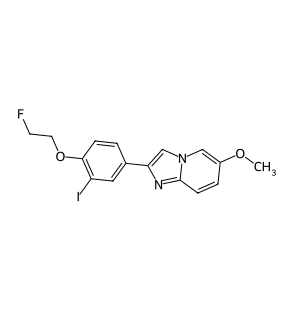 COc1ccc2nc(-c3ccc(OCCF)c(I)c3)cn2c1